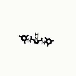 C/C(=N\c1c(C)cc(C)cc1C)c1ccc(/C(C)=N/c2c(C)cc(C)cc2C)[nH]1